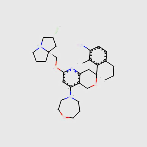 N#Cc1c(N)ccc2c1[C@]1(CCC2)Cc2nc(OC[C@@]34CCCN3C[C@H](F)C4)cc(N3CCCOCC3)c2CO1